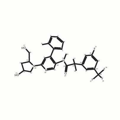 Cc1ccccc1-c1cc(N2CC(O)CC2CO)ncc1N(C)C(=O)C(C)(C)c1cc(F)cc(C(F)(F)F)c1